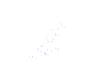 COc1ncc(-c2ccc(C(=O)N3C(C(=O)O)CCC3c3ccccc3F)cc2)c(OC)n1